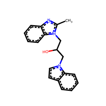 Cc1nc2ccccc2n1CC(O)Cn1ccc2ccccc21